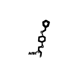 CC(=O)N[C@@H](CF)CO[C@H]1CC[C@H](OCc2ccccc2)CC1